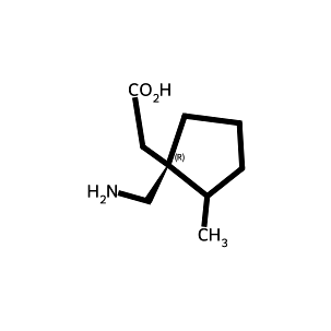 CC1CCC[C@@]1(CN)CC(=O)O